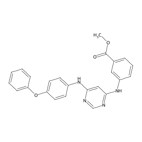 COC(=O)c1cccc(Nc2cc(Nc3ccc(Oc4ccccc4)cc3)ncn2)c1